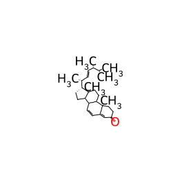 CC(C)[C@@H](C)/C=C/[C@@H](C)[C@H]1CCC2C3C=CC4=CC(=O)CC[C@]4(C)C3CC[C@@]21C